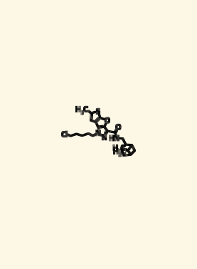 Cc1cc2c(oc3c(C(=O)NCC4CCC5CC4C5(C)C)nn(CCCCCCl)c32)s1